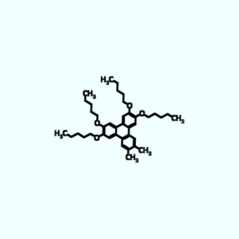 CCCCCOc1cc2c3cc(C)c(C)cc3c3cc(OCCCCC)c(OCCCCC)cc3c2cc1OCCCCC